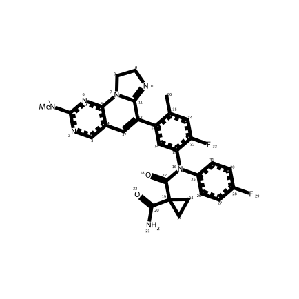 CNc1ncc2c(n1)N1CCN=C1C(c1cc(N(C(=O)C3(C(N)=O)CC3)c3ccc(F)cc3)c(F)cc1C)=C2